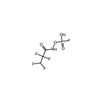 O=C(NOP(=O)(O)F)C(F)(F)C(F)F